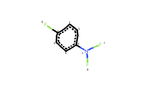 Fc1ccc(N(F)F)cc1